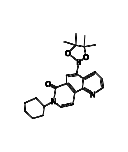 CC1(C)OB(c2cc3c(=O)n(C4CCCCC4)ccc3c3ncccc23)OC1(C)C